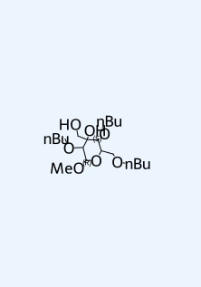 CCCCOCC1O[C@@H](OC)C(OCCCC)C(O)(CO)[C@H]1OCCCC